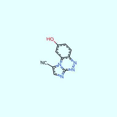 N#Cc1cnc2nnc3ccc(O)cc3n12